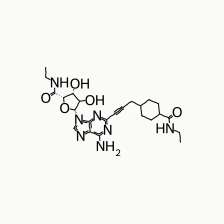 CCNC(=O)C1CCC(CC#Cc2nc(N)c3ncn([C@@H]4O[C@H](C(=O)NCC)[C@H](O)C4O)c3n2)CC1